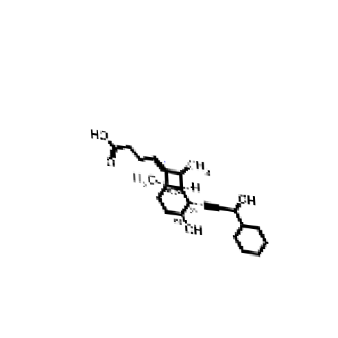 CC1/C(=C/CCC(=O)O)[C@]2(C)CC[C@H](O)[C@@H](C#CC(O)C3CCCCC3)[C@H]12